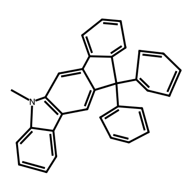 Cn1c2ccccc2c2cc3c(cc21)-c1ccccc1C3(c1ccccc1)c1ccccc1